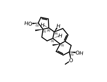 CO[C@]1(O)C=C[C@@]2(C)C(=CC[C@H]3[C@@H]4C=C[C@H](O)[C@@]4(C)CC[C@@H]32)C1